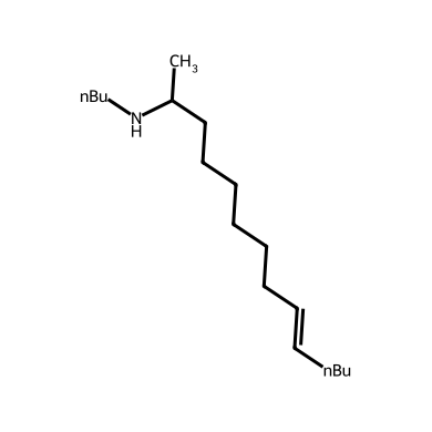 CCCCC=CCCCCCCC(C)NCCCC